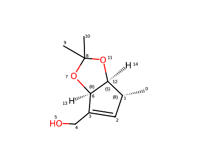 C[C@@H]1C=C(CO)[C@H]2OC(C)(C)O[C@@H]12